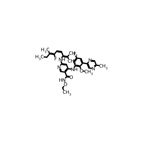 CCONC(=O)c1cnc(NC(/C=C\C(F)=C(/C)CC)=C(C)C)cc1Nc1cc(F)cc(-c2cnc(C)cn2)c1OC